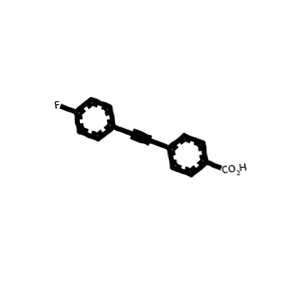 O=C(O)c1ccc(C#Cc2ccc(F)cc2)cc1